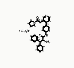 Cl.Cl.NC(C(=O)Nc1ccc(-c2ccncc2CC(=O)N2CCCC2)cc1)C(c1ccccc1)c1ccccc1